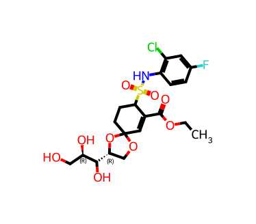 CCOC(=O)C1=CC2(CCC1S(=O)(=O)Nc1ccc(F)cc1Cl)OC[C@H](C(O)[C@H](O)CO)O2